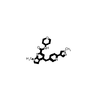 Cn1cc(-c2ccc(Cc3cc(C(=O)NC4CCOCC4)nc4c3ccn4C)cn2)cn1